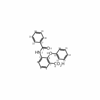 O=C(Nc1cccc(C(=O)O)c1Oc1ccccc1)c1ccccc1